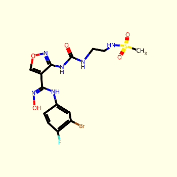 CS(=O)(=O)NCCNC(=O)Nc1nocc1/C(=N/O)Nc1ccc(F)c(Br)c1